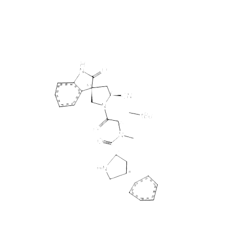 CN(C(=O)[C@@H]1C[C@H](c2ccccc2)CN1)[C@@H](CC(C)(C)C)C(=O)N1C[C@]2(C[C@H]1C#N)C(=O)Nc1ccccc12